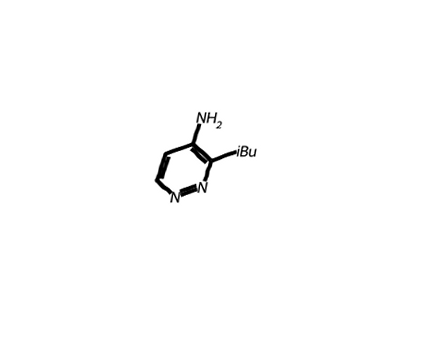 CCC(C)c1nnccc1N